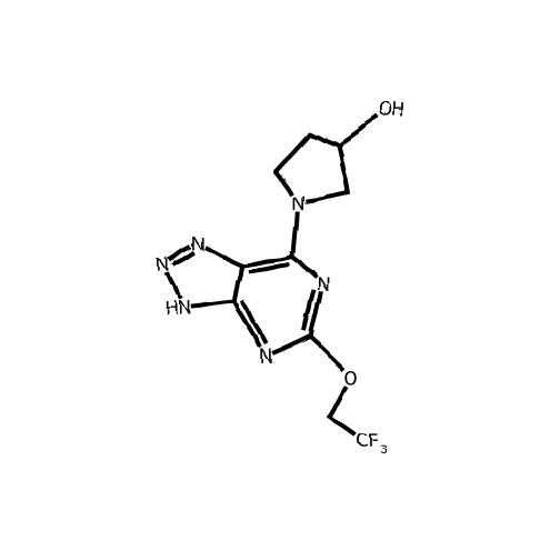 OC1CCN(c2nc(OCC(F)(F)F)nc3[nH]nnc23)C1